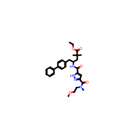 CCOC(=O)C(C)(C)CC(Cc1ccc(-c2ccccc2)cc1)NC(=O)c1cc(C(=O)N(C)CCOC)n[nH]1